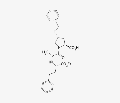 CCOC(=O)[C@H](CCc1ccccc1)NC(C)C(=O)N1C[C@H](OCc2ccccc2)C[C@H]1C(=O)O